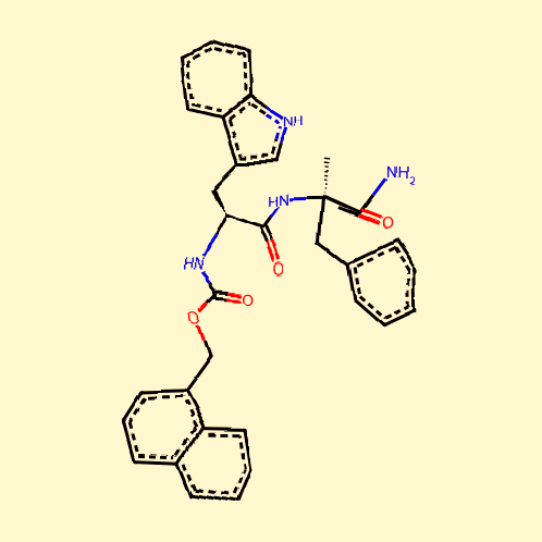 C[C@](Cc1ccccc1)(NC(=O)[C@H](Cc1c[nH]c2ccccc12)NC(=O)OCc1cccc2ccccc12)C(N)=O